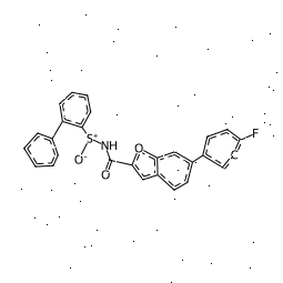 O=C(N[S+]([O-])c1ccccc1-c1ccccc1)c1cc2ccc(-c3ccc(F)cc3)cc2o1